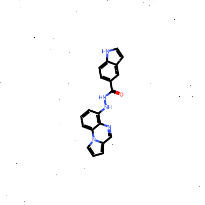 O=C(NNc1cccc2c1ncc1cccn12)c1ccc2[nH]ccc2c1